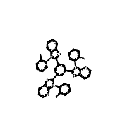 Cc1ccccc1-n1c(-c2cc(-c3nc4cccnc4n3-c3ccccc3C)cc(-c3nc4cccnc4n3-c3ccccc3C)c2)nc2ccccc21